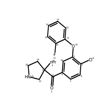 CCCC1(C(=O)c2ccc(Cl)c(Oc3ccccc3F)c2)CCNC1